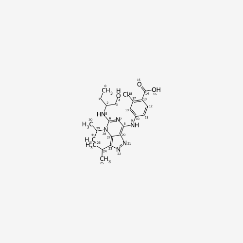 CCC(CO)Nc1nc(Nc2ccc(C(=O)O)c(Cl)c2)c2nnc(C(C)C)c-2n1C(C)C